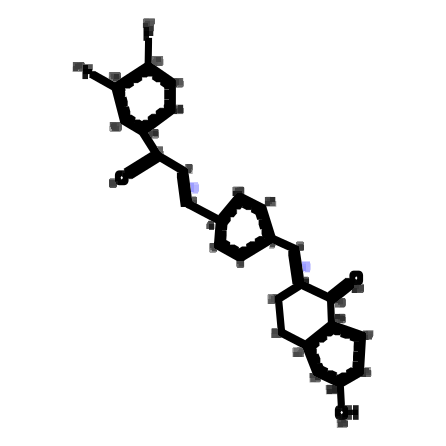 O=C(/C=C/c1ccc(/C=C2\CCc3cc(O)ccc3C2=O)cc1)c1ccc(F)c(F)c1